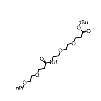 CCCOCCOCCC(=O)NCCOCCOCCC(=O)OC(C)(C)C